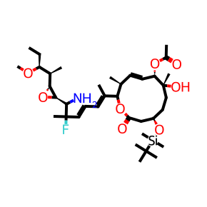 CC[C@H](OC)[C@@H](C)[C@H]1O[C@@H]1C(N)C(C)(F)/C=C/C=C(\C)C1OC(=O)C[C@H](O[Si](C)(C)C(C)(C)C)CC[C@@](C)(O)[C@@H](OC(C)=O)/C=C/[C@@H]1C